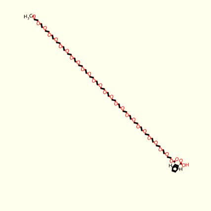 COCCOCCOCCOCCOCCOCCOCCOCCOCCOCCOCCOCCOCCOCCOCCOCCOCCOCCOCCOCCOCCOCCOCCOCCOCCOC(=O)[C@@H]1[C@H](C(=O)O)[C@H]2C=C[C@@H]1C2